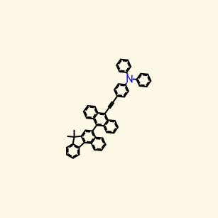 CC1(C)c2ccccc2-c2c1cc(-c1c3ccccc3c(C#Cc3ccc(N(c4ccccc4)c4ccccc4)cc3)c3ccccc13)c1ccccc21